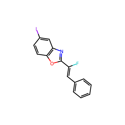 FC(=Cc1ccccc1)c1nc2cc(I)ccc2o1